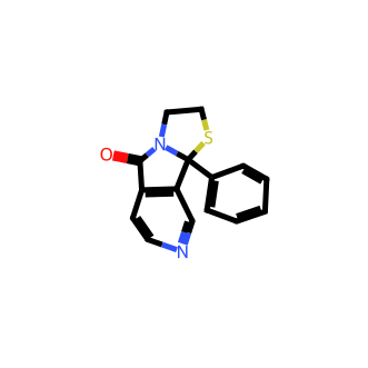 O=C1c2ccncc2C2(c3ccccc3)SCCN12